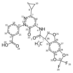 C[C@]1(C(=O)Nc2cc(C3CC3)nn(-c3cccc(C(=O)O)c3)c2=O)COc2cc3c(cc21)OC(F)(F)O3